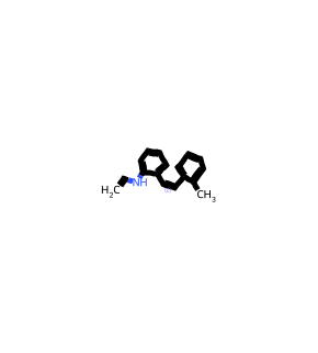 C=CNc1ccccc1/C=C\c1ccccc1C